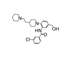 O=C(Nc1cc(CO)ccc1N1CCC(CCN2CCCCC2)CC1)c1cccc(Cl)c1